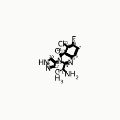 C[C@H](N)c1nc2ccc(F)c(Cl)c2c(=O)n1-c1cn[nH]c1